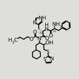 CCCCOC(=O)N(C(=O)[C@H](Cc1c[nH]cn1)NC(=O)[C@@H](N)Cc1ccccc1)C(CC1CCCCC1)C(O)CSc1nccs1